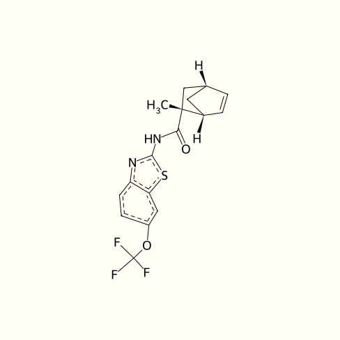 C[C@@]1(C(=O)Nc2nc3ccc(OC(F)(F)F)cc3s2)C[C@@H]2C=C[C@H]1C2